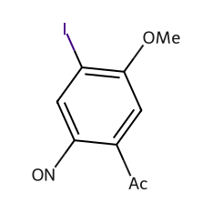 COc1cc(C(C)=O)c(N=O)cc1I